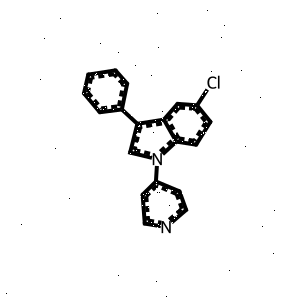 Clc1ccc2c(c1)c(-c1ccccc1)cn2-c1ccncc1